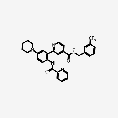 O=C(NCc1cccc(C(F)(F)F)c1)c1ccnc(-c2cc(N3CCCCC3)ccc2NC(=O)c2ccccn2)c1